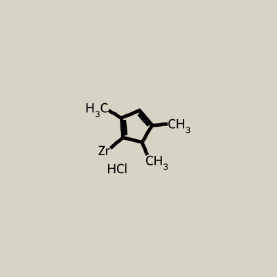 CC1=CC(C)=[C]([Zr])C1C.Cl